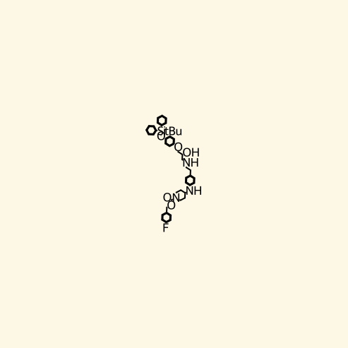 CC(C)(C)[Si](Oc1ccc(OCC(O)CNCCc2ccc(NC3CCN(C(=O)OCc4ccc(F)cc4)CC3)cc2)cc1)(c1ccccc1)c1ccccc1